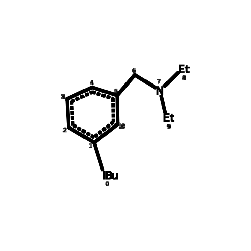 CCC(C)c1cccc(CN(CC)CC)c1